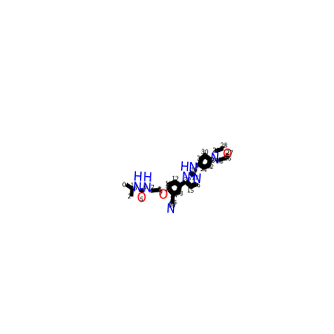 CC(C)NC(=O)NCCOc1ccc(-c2ccnc(Nc3ccc(N4CCOCC4)cc3)n2)cc1C#N